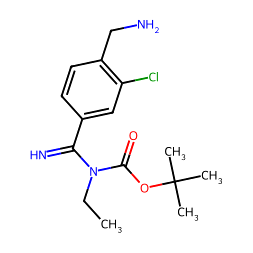 CCN(C(=N)c1ccc(CN)c(Cl)c1)C(=O)OC(C)(C)C